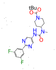 CN(C(=O)Nc1cnc(-c2cc(F)cc(F)c2)nc1)C1CCN(C(=O)OC(C)(C)C)CC1